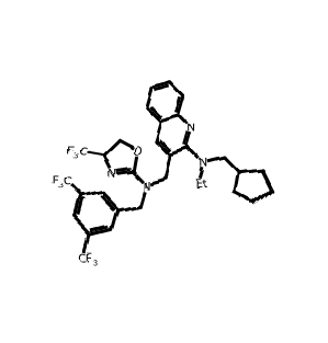 CCN(CC1CCCC1)c1nc2ccccc2cc1CN(Cc1cc(C(F)(F)F)cc(C(F)(F)F)c1)C1=NC(C(F)(F)F)CO1